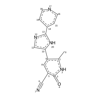 Cc1[nH]c(=O)c(C#N)cc1-c1cnc(-c2ccncc2)[nH]1